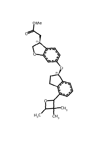 COC(=O)C[C@@H]1COc2cc(O[C@@H]3CCc4c(C5OC(C)C5(C)C)cccc43)ccc21